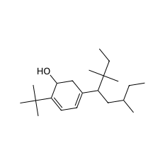 CCC(C)CC(C1=CC=C(C(C)(C)C)C(O)C1)C(C)(C)CC